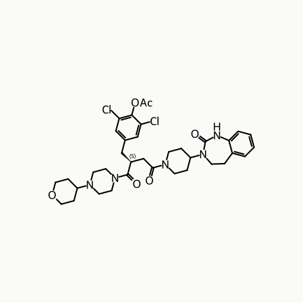 CC(=O)Oc1c(Cl)cc(C[C@@H](CC(=O)N2CCC(N3CCc4ccccc4NC3=O)CC2)C(=O)N2CCN(C3CCOCC3)CC2)cc1Cl